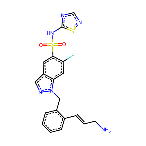 NCC=Cc1ccccc1Cn1ncc2cc(S(=O)(=O)Nc3ncns3)c(F)cc21